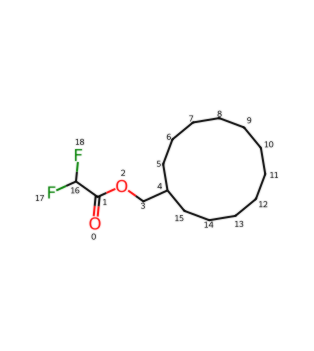 O=C(OCC1CCCCCCCCCCC1)C(F)F